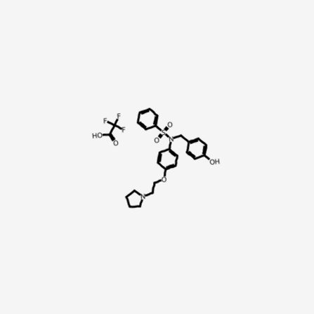 O=C(O)C(F)(F)F.O=S(=O)(c1ccccc1)N(Cc1ccc(O)cc1)c1ccc(OCCN2CCCC2)cc1